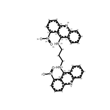 O=[N+]([O-])c1cccc2nc3ccccc3c(NCCCNc3c4ccccc4nc4cccc([N+](=O)[O-])c34)c12